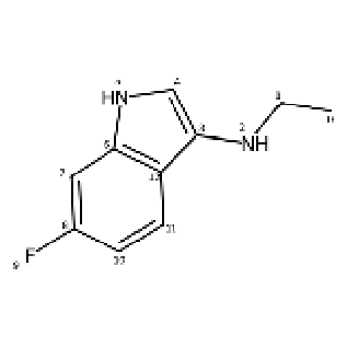 CCNc1c[nH]c2cc(F)ccc12